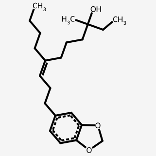 CCCCC(=CCCc1ccc2c(c1)OCO2)CCCC(C)(O)CC